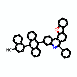 N#Cc1ccc(-c2c3ccccc3c(-c3ccc4c(c3)nc(-c3ccccc3)c3ccc5c6ccccc6oc5c34)c3ccccc23)c2ccccc12